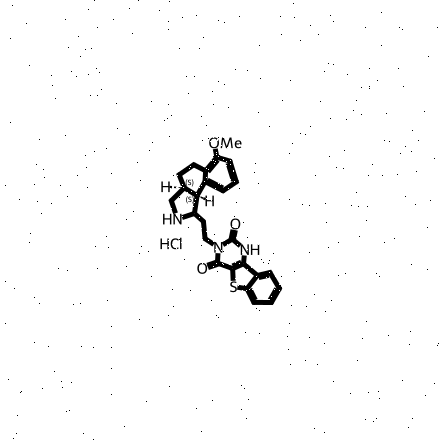 COc1cccc2c1CC[C@@H]1CNC(CCn3c(=O)[nH]c4c(sc5ccccc54)c3=O)[C@H]21.Cl